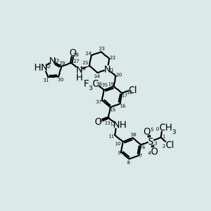 CC(Cl)S(=O)(=O)c1cccc(CNC(=O)c2cc(Cl)c(CN3CCC[C@H](NC(=O)c4cc[nH]n4)C3)c(C(F)(F)F)c2)c1